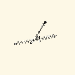 O=C(CCCCCCCCCBr)OCC(COC(=O)CCCCCCCCCBr)OC(=O)CCCCCCCCCBr